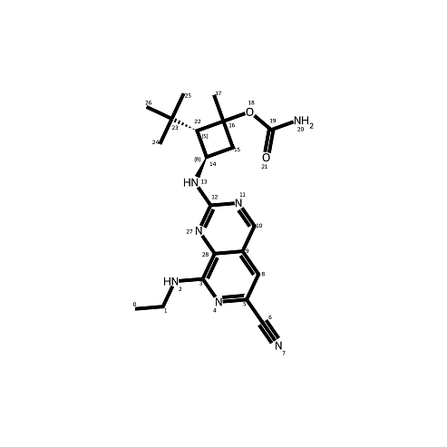 CCNc1nc(C#N)cc2cnc(N[C@@H]3CC(C)(OC(N)=O)[C@H]3C(C)(C)C)nc12